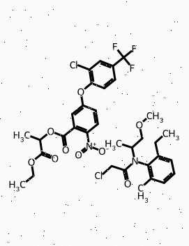 CCOC(=O)C(C)OC(=O)c1cc(Oc2ccc(C(F)(F)F)cc2Cl)ccc1[N+](=O)[O-].CCc1cccc(C)c1N(C(=O)CCl)C(C)COC